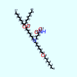 CCCCCCCCCOCCCCCCCCN(CCCCCCCC(=O)OC(CCCCCCCC)CCCCCCCC)CCCC(=O)NOC